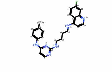 Cc1ccc(Nc2ccnc(NCCCCNc3ccnc4cc(Cl)ccc34)n2)cc1